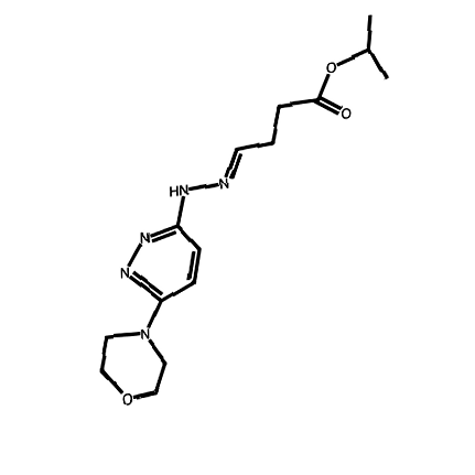 CC(C)OC(=O)CCC=NNc1ccc(N2CCOCC2)nn1